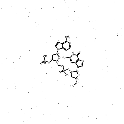 Nc1nc2c(ncn2[C@@H]2O[C@H](CO)C[C@H]2OP(O)(=S)OC[C@H]2O[C@@H](n3ccc4c(N)ncnc43)C[C@@H]2O[PH](=O)O)c(=O)[nH]1